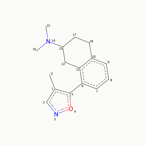 Cc1cnoc1-c1cccc2c1CC(N(C)C)CC2